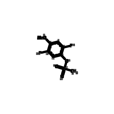 COc1cc(F)c(OS(C)(=O)=O)cc1F